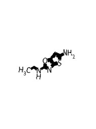 CCNc1nc2sc(N)cc2o1